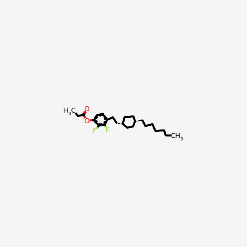 CCCCCCC[C@H]1CC[C@H](CCc2ccc(OC(=O)CC)c(F)c2F)CC1